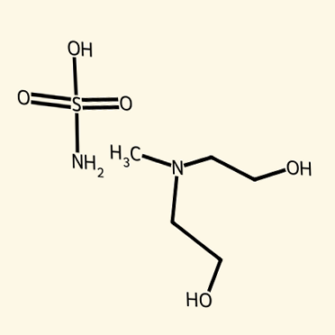 CN(CCO)CCO.NS(=O)(=O)O